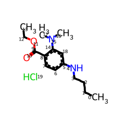 CCCCNc1ccc(C(=O)OCC)c(N(C)C)c1.Cl